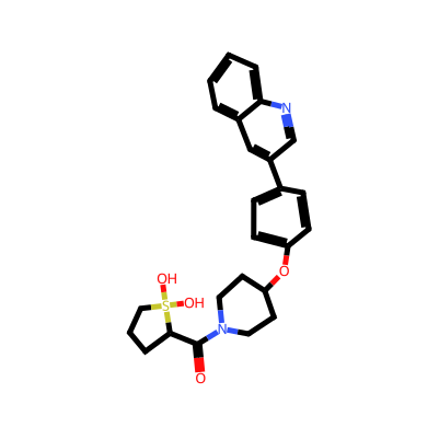 O=C(C1CCCS1(O)O)N1CCC(Oc2ccc(-c3cnc4ccccc4c3)cc2)CC1